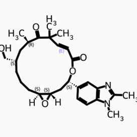 Cc1nc2cc([C@@H]3C[C@@H]4O[C@H]4CCC[C@H](CO)C[C@@H](C)C(=O)C(C)(C)/C=C/C(=O)O3)ccc2n1C